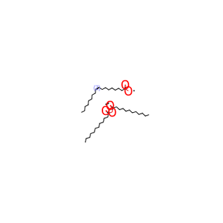 C=C.CCCCCCCC/C=C\CCCCCCCC([O])=O.CCCCCCCCCCCC(=O)OC(=O)CCCCCCCCCCC